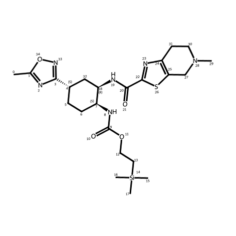 Cc1nc([C@H]2CC[C@H](NC(=O)OCC[Si](C)(C)C)[C@H](NC(=O)c3nc4c(s3)CN(C)CC4)C2)no1